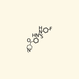 CN1CCC(C(=O)c2cccc(NC(=S)Nc3ccc(F)cc3)c2)CC1